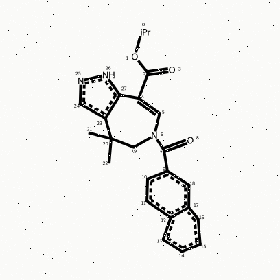 CC(C)OC(=O)C1=CN(C(=O)c2ccc3ccccc3c2)CC(C)(C)c2cn[nH]c21